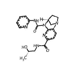 C[C@H](O)CNC(=O)c1ccc2c(n1)N(C(=O)Nc1ccccn1)[C@H]1CCN2C1